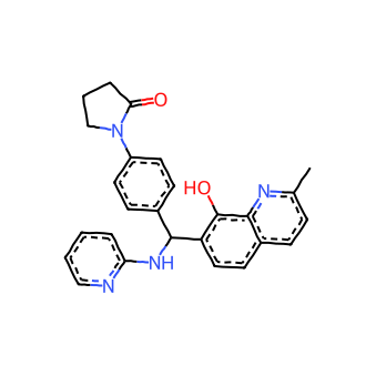 Cc1ccc2ccc(C(Nc3ccccn3)c3ccc(N4CCCC4=O)cc3)c(O)c2n1